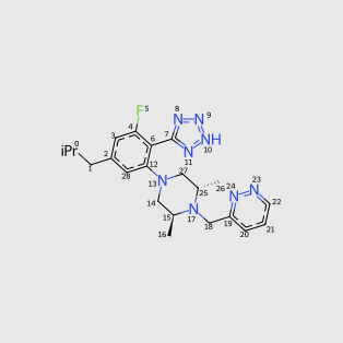 CC(C)Cc1cc(F)c(-c2nn[nH]n2)c(N2C[C@H](C)N(Cc3cccnn3)[C@@H](C)C2)c1